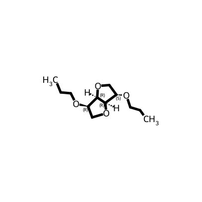 CCCO[C@H]1CO[C@H]2[C@@H]1OC[C@H]2OCCC